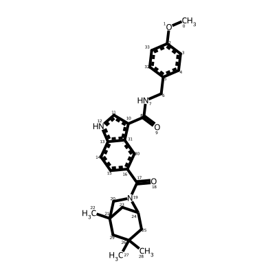 COc1ccc(CNC(=O)c2c[nH]c3ccc(C(=O)N4CC5(C)CC4CC(C)(C)C5)cc23)cc1